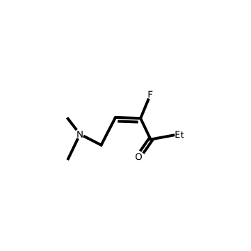 CCC(=O)/C(F)=C\CN(C)C